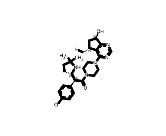 CC1(C)CC[C@@H]([C@@H](C(=O)N2CCN(c3ncnc4c3[C@H](CF)C[C@H]4O)CC2)c2ccc(Cl)cc2)N1